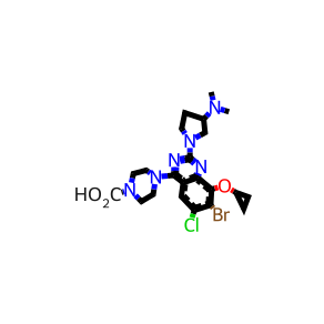 CN(C)C1CCN(c2nc(N3CCN(C(=O)O)CC3)c3cc(Cl)c(Br)c(OC4CC4)c3n2)C1